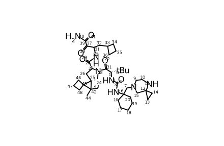 CC(C)(C)[C@H](NC(=O)NC1(CN2CCNC3(CC3)C2)CCCCC1)C(=O)N1C[C@]2(C[C@H]1C(=O)NC(CC1CCC1)C(=O)C(N)=O)C(C)(C)C21CCC1